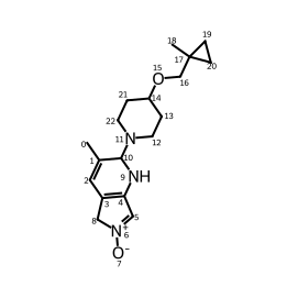 CC1=CC2=C(C=[N+]([O-])C2)NC1N1CCC(OCC2(C)CC2)CC1